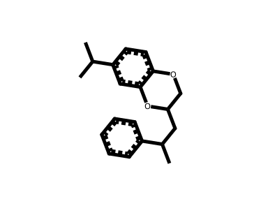 CC(C)c1ccc2c(c1)OC(CC(C)c1ccccc1)CO2